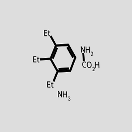 CCc1cccc(CC)c1CC.N.NC(=O)O